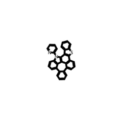 c1ccc(-n2c3cccc4c3c3c5c(cccc5c5sc6ccccc6c5c32)-c2ccccc2-4)nc1